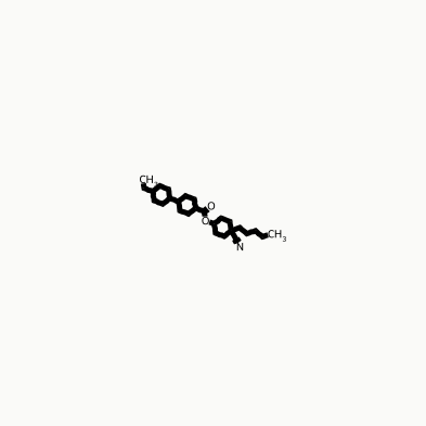 CCCCCC1(C#N)CCC(OC(=O)C2CCC(C3CCC(CC)CC3)CC2)CC1